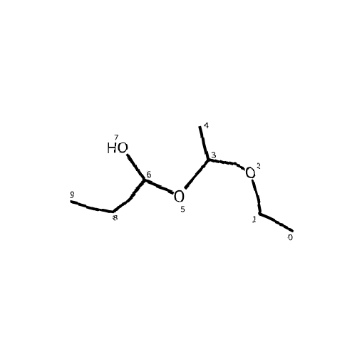 CCOC(C)OC(O)CC